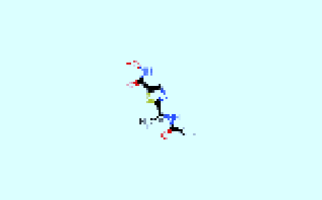 CC(=O)N[C@H](C)c1ncc(C(=O)NO)s1